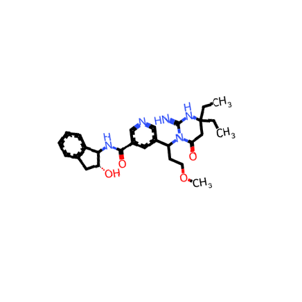 CCC1(CC)CC(=O)N(C(CCOC)c2cncc(C(=O)NC3c4ccccc4C[C@H]3O)c2)C(=N)N1